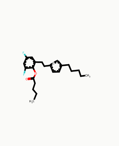 CCCCCc1ccc(CCc2cc(F)cc(F)c2OC(=O)CCCC)cc1